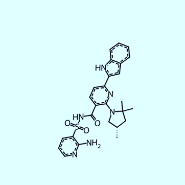 C[C@@H]1CN(c2nc(-c3cc4ccccc4[nH]3)ccc2C(=O)NS(=O)(=O)c2cccnc2N)C(C)(C)C1